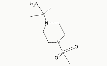 CC(C)(N)N1CCN(S(C)(=O)=O)CC1